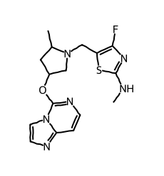 CNc1nc(F)c(CN2CC(Oc3nccc4nccn34)CC2C)s1